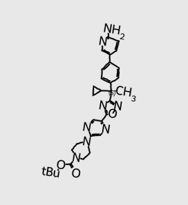 CC(C)(C)OC(=O)N1CCN(c2cnc(-c3nc([C@](C)(c4ccc(-c5ccc(N)nc5)cc4)C4CC4)no3)cn2)CC1